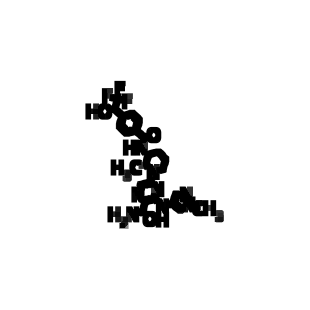 C[C@@H]1[C@H](NC(=O)c2ccc(C(O)C(F)(F)F)cc2)CCCN1c1cnc(C(N)=O)c(Nc2cnn(C)c2)n1